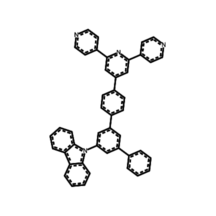 c1ccc(-c2cc(-c3ccc(-c4cc(-c5ccncc5)nc(-c5ccncc5)c4)cc3)cc(-n3c4ccccc4c4ccccc43)c2)cc1